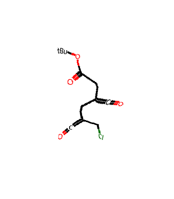 CC(C)(C)OC(=O)CC(=C=O)CC(=C=O)CCl